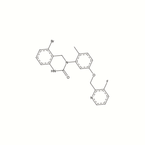 Cc1ccc(OCc2ncccc2F)cc1N1Cc2c(Br)cccc2NC1=O